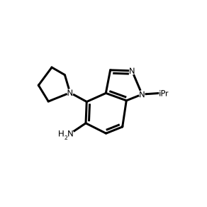 CC(C)n1ncc2c(N3CCCC3)c(N)ccc21